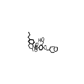 CCCc1ccc2c(c1)CCC(C)N2S(=O)(=O)c1ccc(OCC2CCOCC2)c(CO)c1